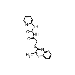 Cc1nc2ccccc2nc1SCC(=O)NC(=O)Nc1ccccn1